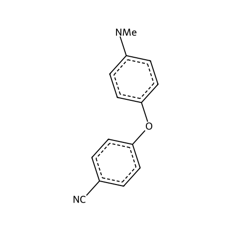 CNc1ccc(Oc2ccc(C#N)cc2)cc1